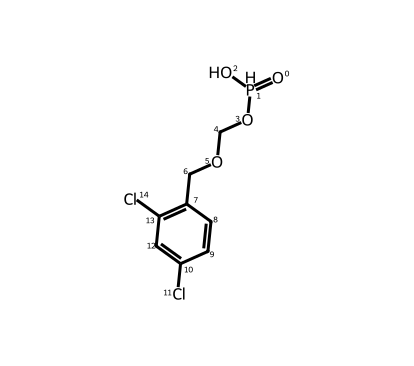 O=[PH](O)OCOCc1ccc(Cl)cc1Cl